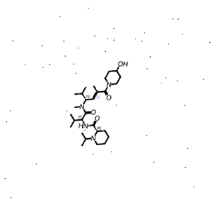 C/C(=C\[C@H](C(C)C)N(C)C(=O)[C@@H](NC(=O)[C@H]1CCCCN1C(C)C)C(C)C)C(=O)N1CCC(O)CC1